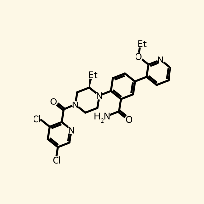 CCOc1ncccc1-c1ccc(N2CCN(C(=O)c3ncc(Cl)cc3Cl)C[C@H]2CC)c(C(N)=O)c1